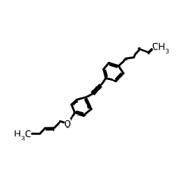 CCC=CCOc1ccc(C#Cc2ccc(CCCCC)cc2)cc1